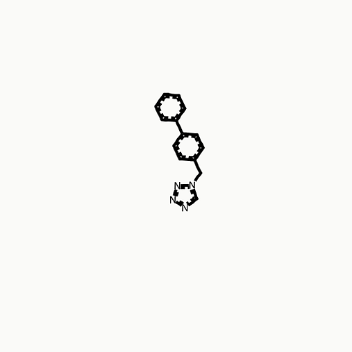 c1ccc(-c2ccc(Cn3cnnn3)cc2)cc1